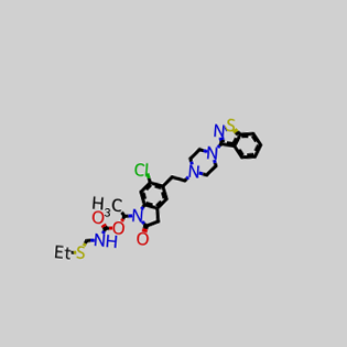 CCSCNC(=O)OC(C)N1C(=O)Cc2cc(CCN3CCN(c4nsc5ccccc45)CC3)c(Cl)cc21